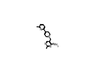 Cc1cccc(C2=CCN(Cc3cnc(C)nc3N)CC2)n1